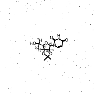 [2H]C([2H])(O)[C@H]1O[C@@H](n2ccc(=O)[nH]c2=O)[C@]2(C)OC(C)(C)O[C@H]12